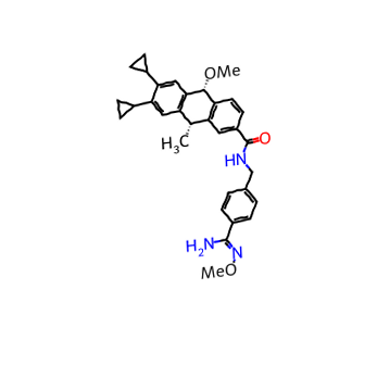 CON=C(N)c1ccc(CNC(=O)c2ccc3c(c2)[C@H](C)c2cc(C4CC4)c(C4CC4)cc2[C@@H]3OC)cc1